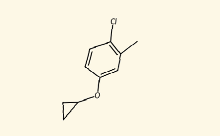 Cc1cc(OC2CC2)ccc1Cl